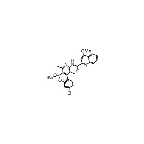 COc1cc(C(=O)Nc2nc(C)c([C@H](OC(C)(C)C)C(=O)O)c(C3=CC=C(Cl)CC3)c2C)nc2ccccc12